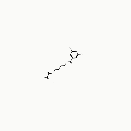 C=C(C)C(=O)OCCCCOC(=O)c1cc(N)cc(N)c1